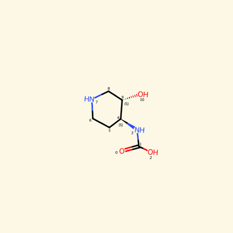 O=C(O)N[C@H]1CCNC[C@@H]1O